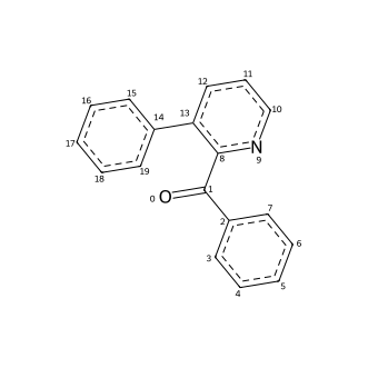 O=C(c1ccccc1)c1ncccc1-c1ccccc1